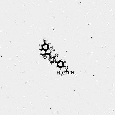 CC(C)Oc1ccc(-n2cnn([C@H](C)[C@@]3(c4ccc(F)cc4F)CO3)c2=O)cc1